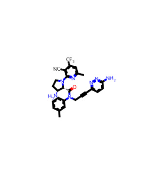 Cc1cccc(N(CC#Cc2ccc(N)nn2)C(=O)[C@@H]2[C@H](N)CCN2c2nc(C)cc(C(F)(F)F)c2C#N)c1